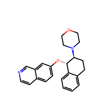 c1ccc2c(c1)CC[C@H](N1CCOCC1)[C@H]2Oc1ccc2ccncc2c1